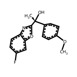 COc1ccc([C@@](C)(O)c2nc3ccc(F)cc3o2)cc1